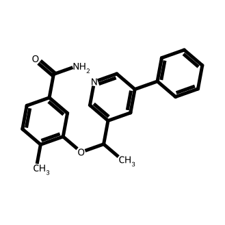 Cc1ccc(C(N)=O)cc1OC(C)c1cncc(-c2ccccc2)c1